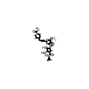 COC(=O)N1CCC(CC#Cc2nc(N)c3ncn([C@H]4C[C@@H](C(=O)NC5CC5)[C@H](O)[C@@H]4O)c3n2)CC1